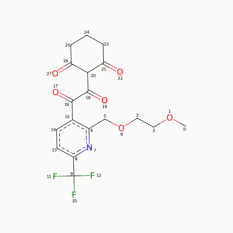 COCCOCc1nc(C(F)(F)F)ccc1C(=O)C(=O)C1C(=O)CCCC1=O